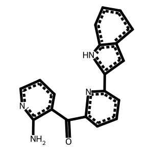 Nc1ncccc1C(=O)c1cccc(-c2cc3ccccc3[nH]2)n1